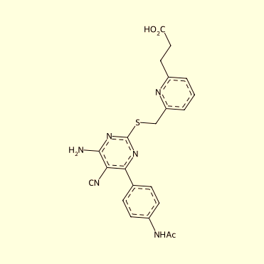 [C-]#[N+]c1c(N)nc(SCc2cccc(CCC(=O)O)n2)nc1-c1ccc(NC(C)=O)cc1